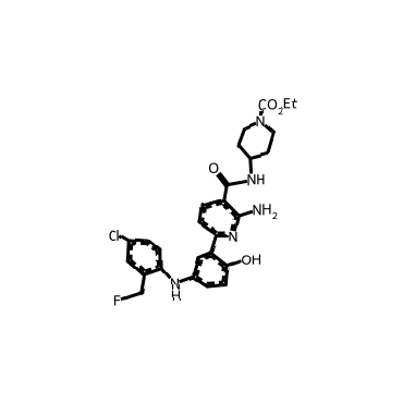 CCOC(=O)N1CCC(NC(=O)c2ccc(-c3cc(Nc4ccc(Cl)cc4CF)ccc3O)nc2N)CC1